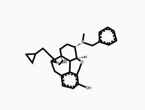 CN(Cc1ccccc1)[C@H]1CC[C@]2(O)C3Cc4ccc(O)c5c4[C@]2(CCN3CC2CC2)[C@@H]1O5